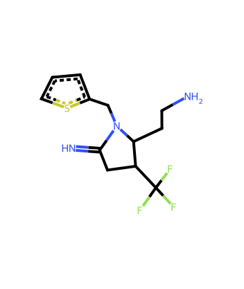 N=C1CC(C(F)(F)F)C(CCN)N1Cc1cccs1